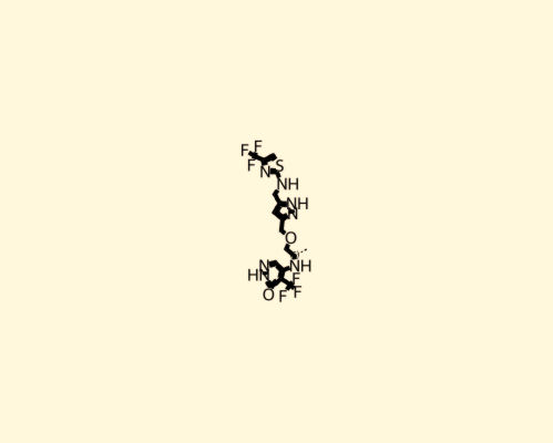 C[C@@H](COCc1cc(CNc2nc(C(F)(F)F)cs2)[nH]n1)Nc1cn[nH]c(=O)c1C(F)(F)F